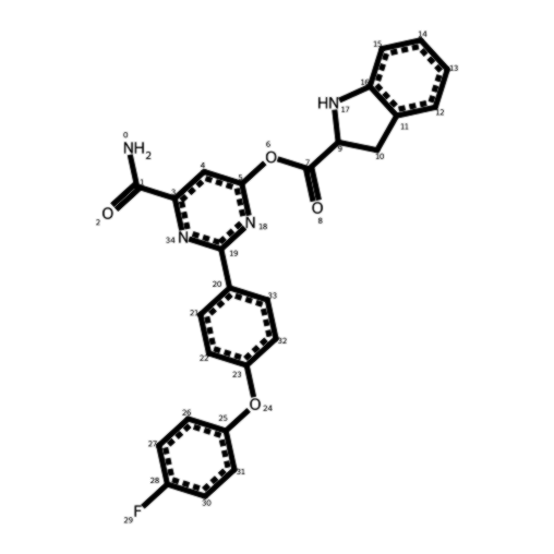 NC(=O)c1cc(OC(=O)C2Cc3ccccc3N2)nc(-c2ccc(Oc3ccc(F)cc3)cc2)n1